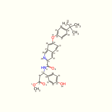 COC(=O)CC(NC(=O)c1cc2ccc(Oc3ccc(C(C)(C)C)cc3)cc2cn1)c1ccc(O)cc1